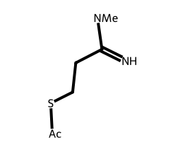 CNC(=N)CCSC(C)=O